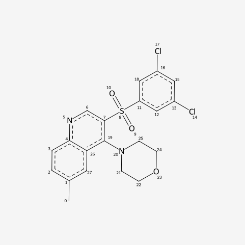 Cc1ccc2ncc(S(=O)(=O)c3cc(Cl)cc(Cl)c3)c(N3CCOCC3)c2c1